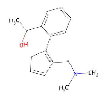 CC(O)c1ccccc1C1=C(CN(C)C)C=CC1